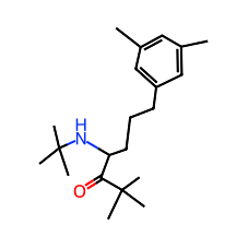 Cc1cc(C)cc(CCCC(NC(C)(C)C)C(=O)C(C)(C)C)c1